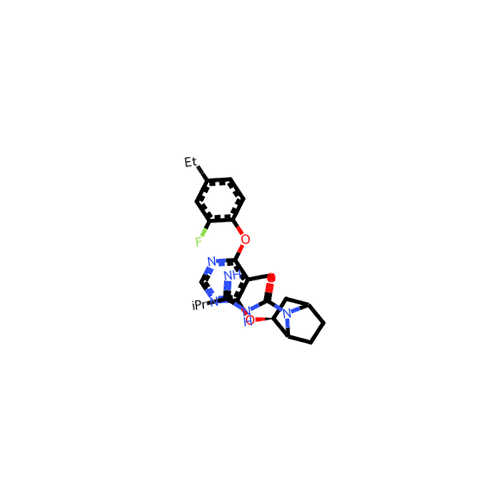 CCc1ccc(Oc2ncnc(O[C@H]3CC4CCC3N4C(=O)NC(=N)C(C)C)c2C)c(F)c1